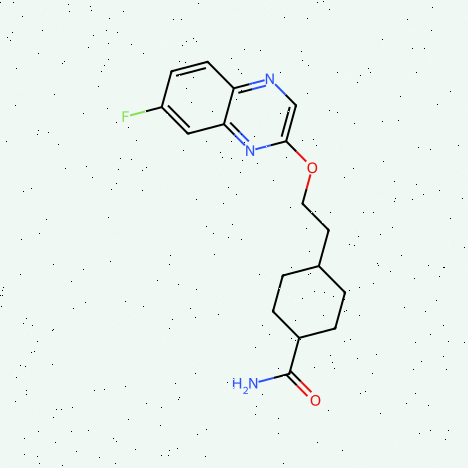 NC(=O)C1CCC(CCOc2cnc3ccc(F)cc3n2)CC1